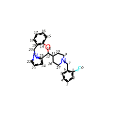 Fc1ccccc1CN1CCC(C2Oc3ccccc3Cn3cccc32)CC1